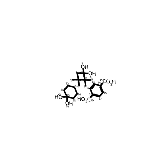 CC1(C)CC(O)(O)C1(C)C.O=C(O)c1ccc(C(=O)O)cc1.OC1(O)CCCCC1